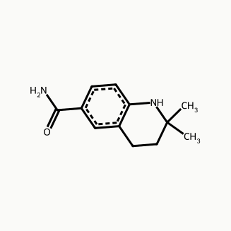 CC1(C)CCc2cc(C(N)=O)ccc2N1